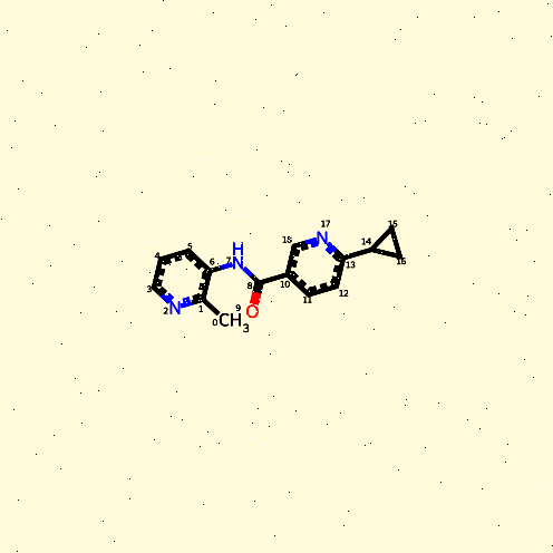 Cc1ncccc1NC(=O)c1ccc(C2CC2)nc1